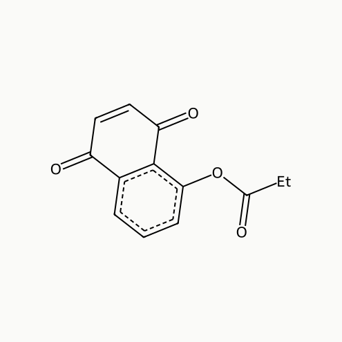 [CH2]CC(=O)Oc1cccc2c1C(=O)C=CC2=O